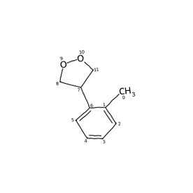 Cc1ccccc1C1COOC1